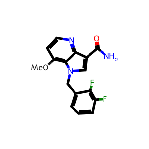 COc1ccnc2c(C(N)=O)cn(Cc3cccc(F)c3F)c12